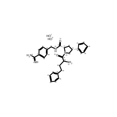 Cl.Cl.N=C(N)c1ccc(CNC(=O)[C@@H]2C[C@H](c3ccccc3)CN2C(=O)C(N)CCc2ccccc2)cc1